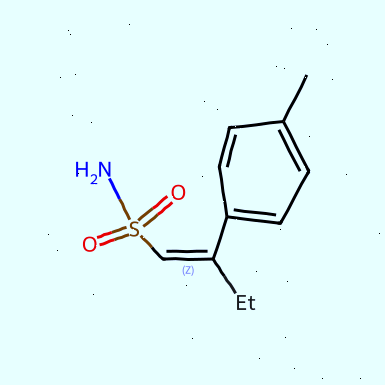 CC/C(=C/S(N)(=O)=O)c1ccc(C)cc1